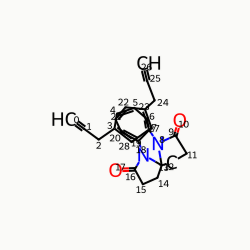 C#CCc1cccc(N2C(=O)CCC23CCC(=O)N3c2cccc(CC#C)c2)c1